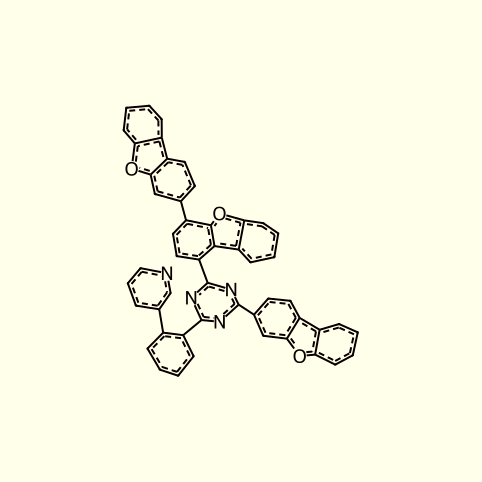 c1cncc(-c2ccccc2-c2nc(-c3ccc4c(c3)oc3ccccc34)nc(-c3ccc(-c4ccc5c(c4)oc4ccccc45)c4oc5ccccc5c34)n2)c1